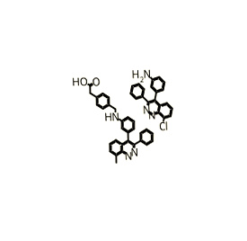 Cc1cccc2c(-c3cccc(NCc4ccc(CC(=O)O)cc4)c3)c(-c3ccccc3)nnc12.Nc1cccc(-c2c(-c3ccccc3)nnc3c(Cl)cccc23)c1